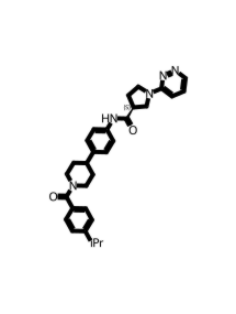 CC(C)c1ccc(C(=O)N2CCC(c3ccc(NC(=O)[C@H]4CCN(c5cccnn5)C4)cc3)CC2)cc1